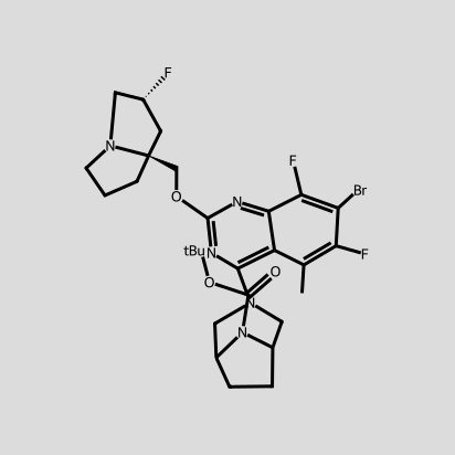 Cc1c(F)c(Br)c(F)c2nc(OC[C@@]34CCCN3C[C@H](F)C4)nc(N3CC4CCC(C3)N4C(=O)OC(C)(C)C)c12